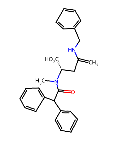 C=C(C[C@@H](C(=O)O)N(C)C(=O)C(c1ccccc1)c1ccccc1)NCc1ccccc1